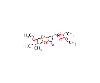 CCOC(=O)C(CC)ON=Cc1cc(Br)c(Oc2ccc(OCC)c(C(C)CC)c2)c(Br)c1